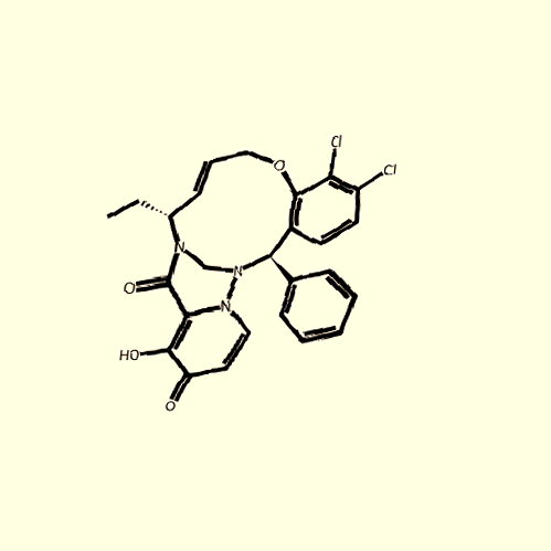 CC[C@@H]1/C=C/COc2c(ccc(Cl)c2Cl)[C@@H](c2ccccc2)N2CN1C(=O)c1c(O)c(=O)ccn12